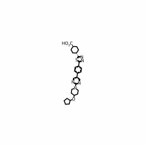 O=C(O)[C@H]1CC[C@H](c2nnc(-c3ccc(-c4cnc(N5CCC(OC6CCCC6)CC5)nc4)cc3)s2)CC1